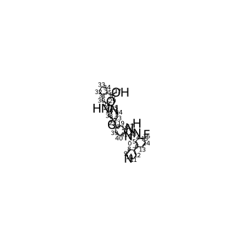 Cn1c(Nc2cc(-c3ccncc3)ccc2F)nc2cc(Oc3ccnc(NC(=O)CC4CCC[C@H]4CO)c3)ccc21